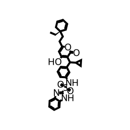 CC[C@]1(CCc2cc(O)c(C(c3cccc(NS(=O)(=O)c4nc5ccccc5[nH]4)c3)C3CC3)c(=O)o2)C=CC=CC1